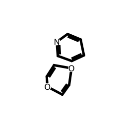 C1=COC=CO1.c1ccncc1